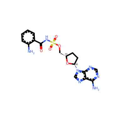 Nc1ccccc1C(=O)NS(=O)(=O)OC[C@@H]1CC[C@H](n2cnc3c(N)ncnc32)O1